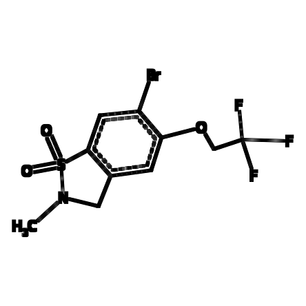 CN1Cc2cc(OCC(F)(F)F)c(Br)cc2S1(=O)=O